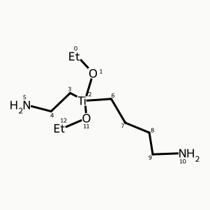 CC[O][Ti]([CH2]CN)([CH2]CCCN)[O]CC